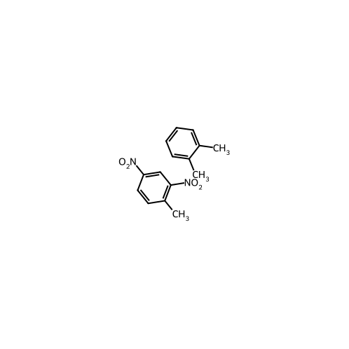 Cc1ccc([N+](=O)[O-])cc1[N+](=O)[O-].Cc1ccccc1C